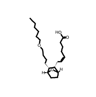 CCCCCCOCCCC[C@@H]1[C@H](C/C=C\CCCC(=O)O)[C@@H]2CC[C@H]1O2